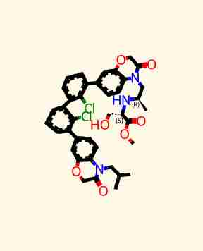 COC(=O)[C@H](CO)N[C@H](C)CN1C(=O)COc2cc(-c3cccc(-c4cccc(-c5ccc6c(c5)OCC(=O)N6CC(C)C)c4Cl)c3Cl)ccc21